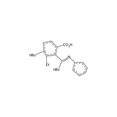 CCCCC(=Nc1ccccc1)c1c(C(=O)O)ccc(CCCC)c1CC